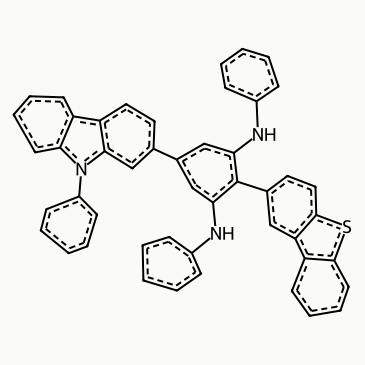 c1ccc(Nc2cc(-c3ccc4c5ccccc5n(-c5ccccc5)c4c3)cc(Nc3ccccc3)c2-c2ccc3sc4ccccc4c3c2)cc1